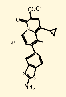 Cc1c(-c2ccc3sc(N)nc3c2)ccn2c(=O)c(C(=O)[O-])cc(C3CC3)c12.[K+]